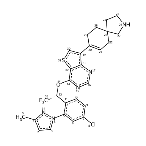 Cc1ccn(-c2cc(Cl)ccc2[C@@H](Oc2ncnc3c(C4=CCC5(CCNC5)CC4)csc23)C(F)(F)F)n1